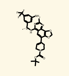 Cc1nc(N[C@H](C)c2cc(N)cc(C(F)(F)F)c2)c2cc(C3=CCN(C(=O)OC(C)(C)C)CC3)c3c(c2n1)OCO3